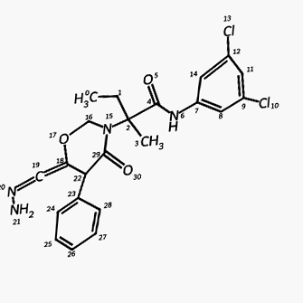 CCC(C)(C(=O)Nc1cc(Cl)cc(Cl)c1)N1COC(=C=NN)C(c2ccccc2)C1=O